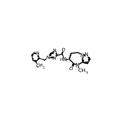 Cc1cccnc1Cn1cnc(C(=O)N[C@H]2CCn3nccc3N(C)C2=O)n1